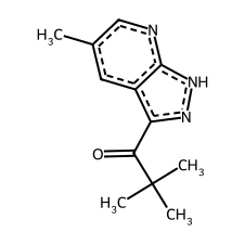 Cc1cnc2[nH]nc(C(=O)C(C)(C)C)c2c1